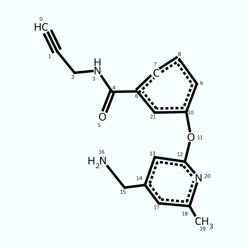 C#CCNC(=O)c1cccc(Oc2cc(CN)cc(C)n2)c1